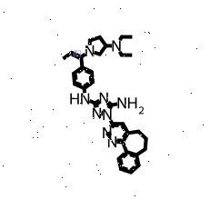 C/C=C(\c1ccc(Nc2nc(N)n(-c3cc4c(nn3)-c3ccccc3CCC4)n2)cc1)N1CCC(N(CC)CC)C1